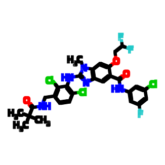 Cn1c(Nc2c(Cl)ccc(CNC(=O)C(C)(C)C)c2Cl)nc2cc(C(=O)Nc3cc(F)cc(Cl)c3)c(OCC(F)F)cc21